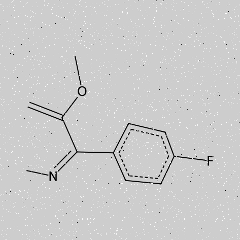 C=C(OC)/C(=N\C)c1ccc(F)cc1